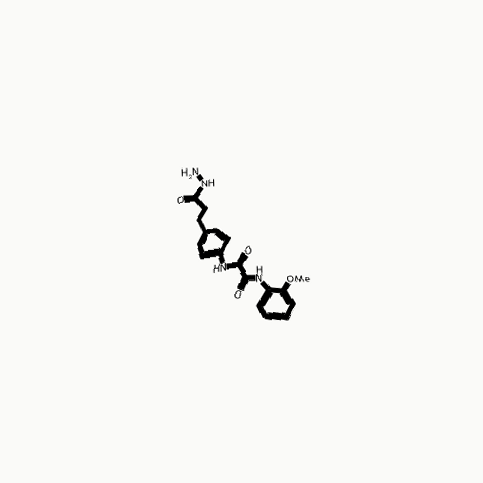 COc1ccccc1NC(=O)C(=O)Nc1ccc(CCC(=O)NN)cc1